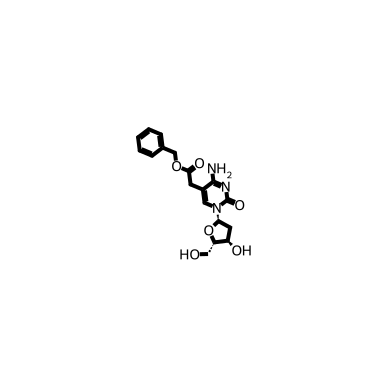 Nc1nc(=O)n([C@@H]2C[C@@H](O)[C@H](CO)O2)cc1CC(=O)OCc1ccccc1